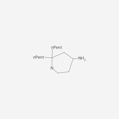 CCCCCC1(CCCCC)CC(N)CC[N]1